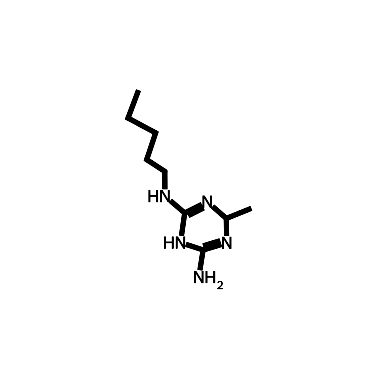 CCCCCNC1=NC(C)N=C(N)N1